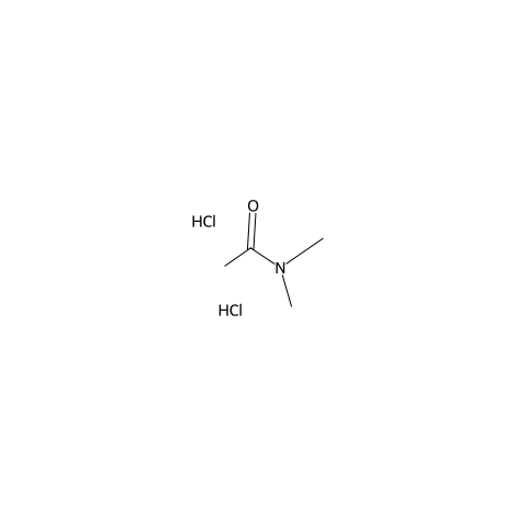 CC(=O)N(C)C.Cl.Cl